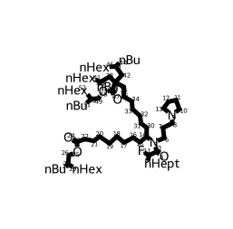 CCCCCCCC(F)C(=O)N(CCCN1CCCC1)C(CCCCCCCCC(=O)OCC(CCCC)CCCCCC)CCCCCCCC(CC(CCCC)CCCCCC)(CC(CCCC)CCCCCC)C(=O)OCC(CCCC)CCCCCC